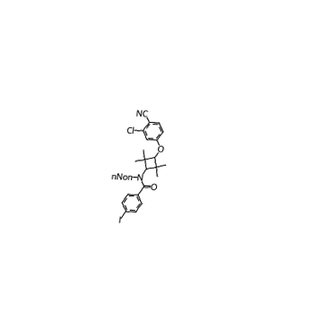 CCCCCCCCCN(C(=O)c1ccc(I)cc1)C1C(C)(C)C(Oc2ccc(C#N)c(Cl)c2)C1(C)C